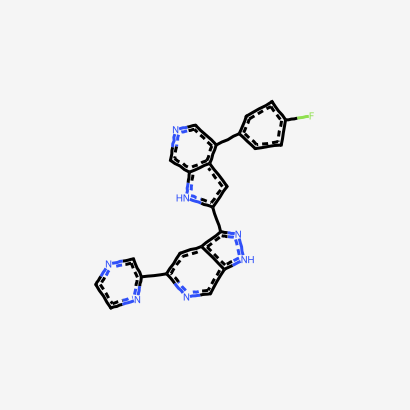 Fc1ccc(-c2cncc3[nH]c(-c4n[nH]c5cnc(-c6cnccn6)cc45)cc23)cc1